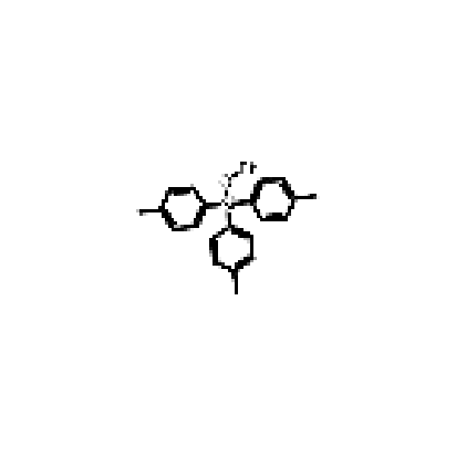 CCO[Si](c1ccc(C)cc1)(c1ccc(C)cc1)c1ccc(C)cc1